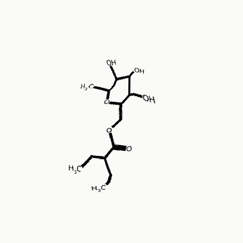 CCC(CC)C(=O)OCC1OC(C)C(O)C(O)C1O